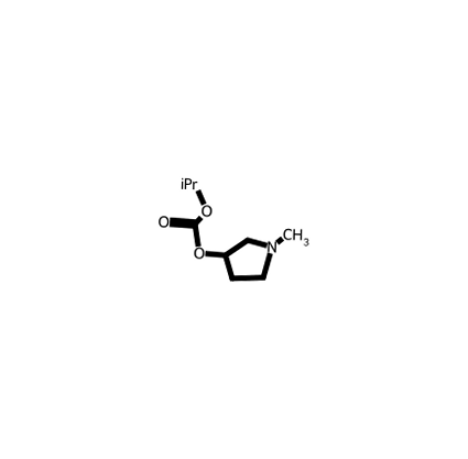 CC(C)OC(=O)OC1CCN(C)C1